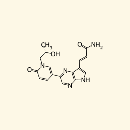 C[C@H](O)Cn1cc(-c2cnc3[nH]cc(/C=C/C(N)=O)c3n2)ccc1=O